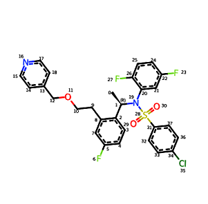 C[C@H](c1ccc(F)cc1CCOCc1ccncc1)N(c1cc(F)ccc1F)S(=O)(=O)c1ccc(Cl)cc1